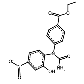 CCOC(=O)c1ccc(N(C(N)=O)c2ccc([N+](=O)[O-])cc2O)cc1